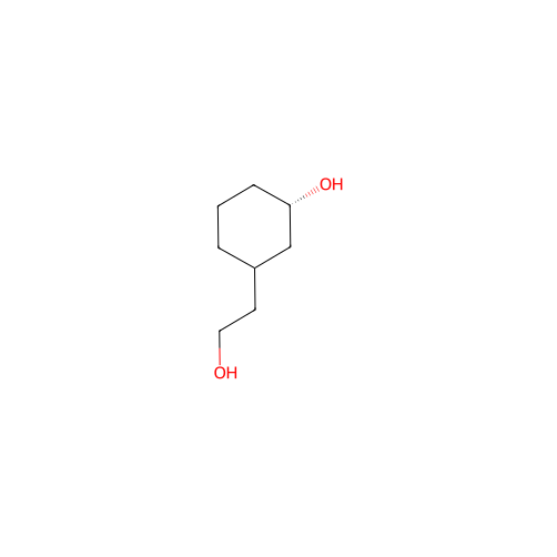 OCCC1CCC[C@H](O)C1